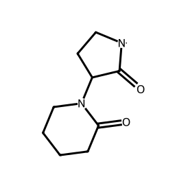 O=C1[N]CCC1N1CCCCC1=O